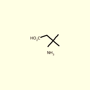 CC(C)(C)CC(=O)O.N